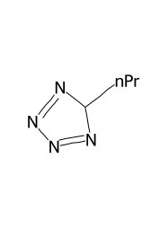 [CH2]CCC1N=NN=N1